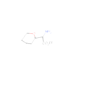 CCOC(=O)C(N)C1CCCCO1